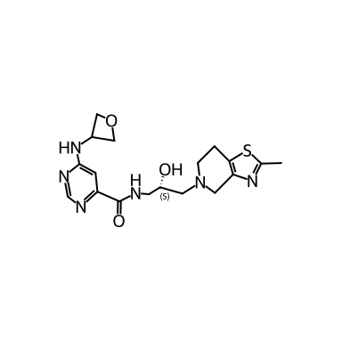 Cc1nc2c(s1)CCN(C[C@@H](O)CNC(=O)c1cc(NC3COC3)ncn1)C2